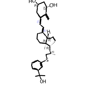 C=C1/C(=C\C=C2/CCC[C@]3(C)[C@@H]([C@H](C)CSc4cccc(C(C)(C)O)c4)CC[C@@H]23)C[C@@H](O)C[C@@H]1O